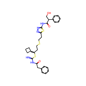 N=C(NC(=O)Cc1ccccc1)SC(CCSCCc1nnc(NC(=O)C(CO)c2ccccc2)s1)=C1CCC1